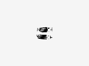 C#N.C#N